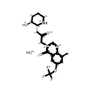 Cc1cc(OC(F)(F)F)cc2c(=O)n(CC(=O)C[C@H]3NCCC[C@@H]3O)cnc12.Cl